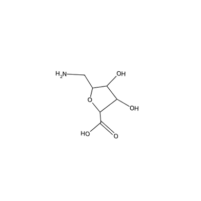 NCC1OC(C(=O)O)C(O)C1O